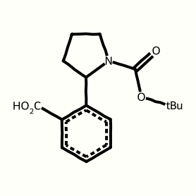 CC(C)(C)OC(=O)N1CCCC1c1ccccc1C(=O)O